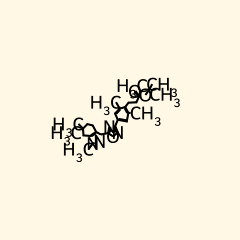 Cc1cc(-c2noc(-c3nn(C)c4c3CCC(C)(C)C4)n2)cc(C)c1CCC(=O)OC(C)(C)C